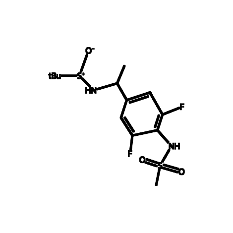 CC(N[S+]([O-])C(C)(C)C)c1cc(F)c(NS(C)(=O)=O)c(F)c1